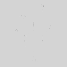 Nc1c(Br)ccc(CCO)c1[N+](=O)[O-]